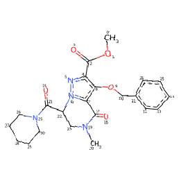 COC(=O)c1nn2c(c1OCc1ccccc1)C(=O)N(C)CC2C(=O)N1CCCCC1